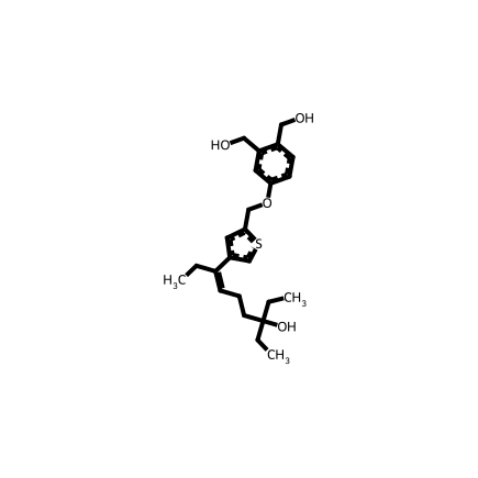 CC/C(=C/CCC(O)(CC)CC)c1csc(COc2ccc(CO)c(CO)c2)c1